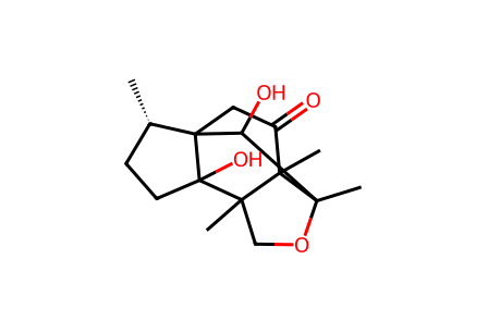 C[C@H]1CCC2(O)C13CC(=O)C1(C)C(C)(OCC21C)C3O